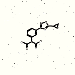 O=C(Cl)C(C(=O)Cl)c1cccc(-c2noc(C3CC3)n2)c1